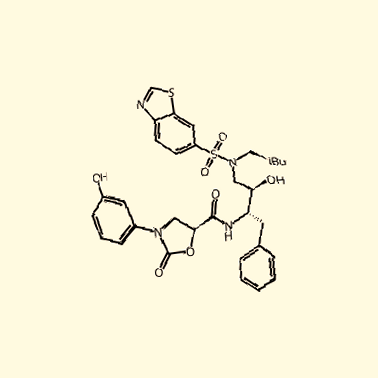 CC[C@H](C)CN(C[C@@H](O)[C@H](Cc1ccccc1)NC(=O)[C@@H]1CN(c2cccc(O)c2)C(=O)O1)S(=O)(=O)c1ccc2ncsc2c1